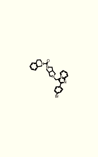 O=C(N1CCc2ccccc2C1)N1CC2CN(Cc3c(-c4ccc(Br)cc4)nc4ccccn34)CC2C1